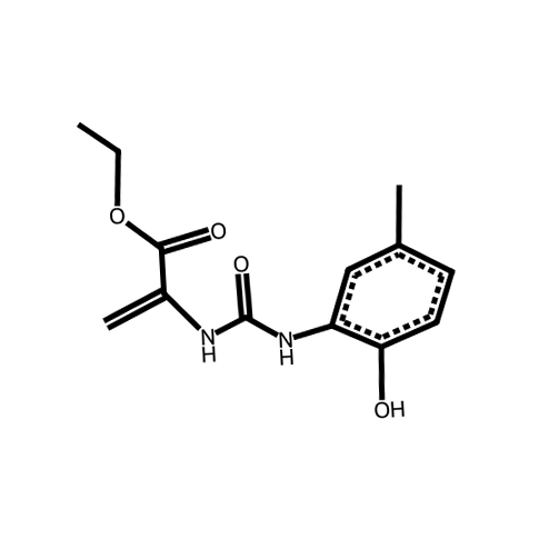 C=C(NC(=O)Nc1cc(C)ccc1O)C(=O)OCC